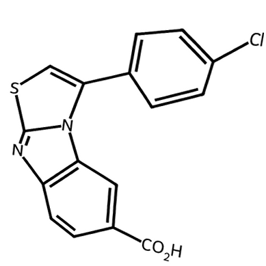 O=C(O)c1ccc2nc3scc(-c4ccc(Cl)cc4)n3c2c1